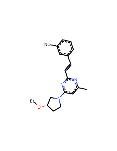 CCO[C@H]1CCN(c2cc(C)nc(/C=C/c3cccc(C#N)c3)n2)C1